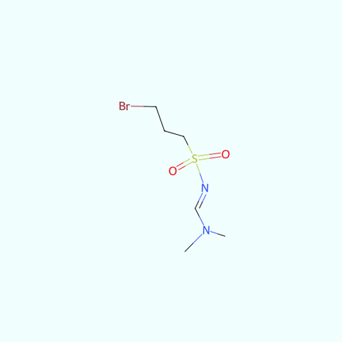 CN(C)C=NS(=O)(=O)CCCBr